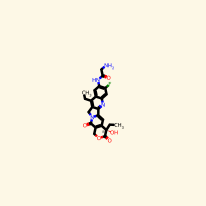 CCc1c2c(nc3cc(F)c(NC(=O)CN)cc13)-c1cc3c(c(=O)n1C2)COC(=O)[C@]3(O)CC